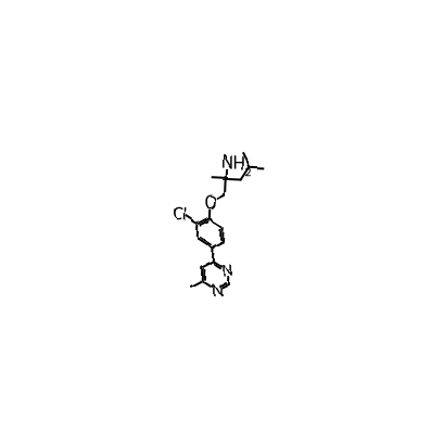 Cc1cc(-c2ccc(OCC(C)(N)CC(C)C)c(Cl)c2)ncn1